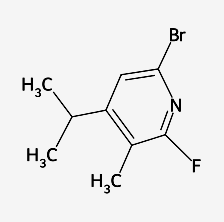 Cc1c(C(C)C)cc(Br)nc1F